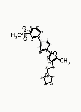 Cc1oc(-c2ccc(-c3cccc(S(C)(=O)=O)c3)cc2)nc1CCN1CCCC1